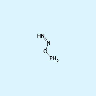 N=NOP